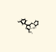 CC[C@@H]1CCCN1Cc1sc(N)nc1-c1cccc(C)c1